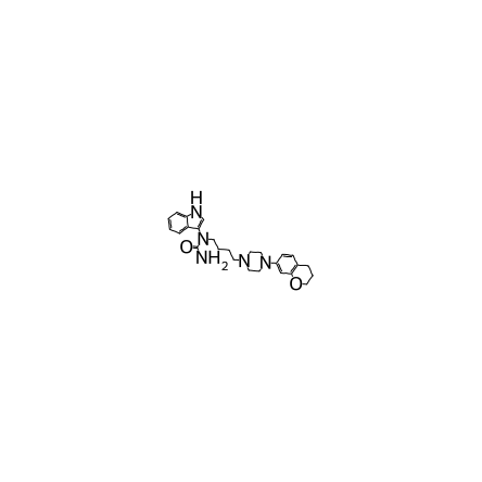 NC(=O)N(CCCCN1CCN(c2ccc3c(c2)OCCC3)CC1)c1c[nH]c2ccccc12